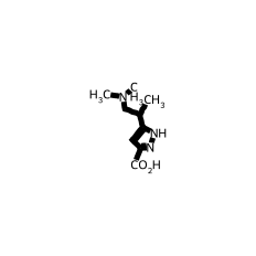 CC(CN(C)C)c1cc(C(=O)O)n[nH]1